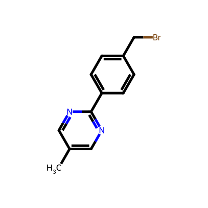 Cc1cnc(-c2ccc(CBr)cc2)nc1